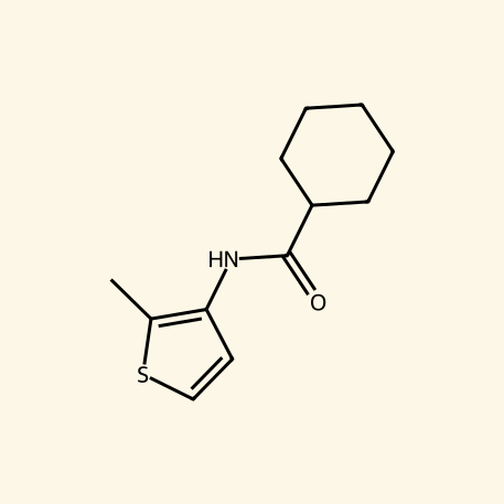 Cc1sccc1NC(=O)C1CCCCC1